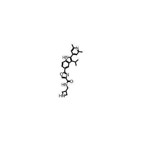 Cc1cc(-c2[nH]c3ccc(-c4nc(C(=O)NCC5CNC5)co4)cc3c2C(C)C)cc(C)n1